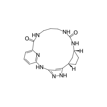 O=C1NCCCNC(=O)c2cccc(n2)Nc2cc([nH]n2)[C@H]2CC[C@H](C2)N1